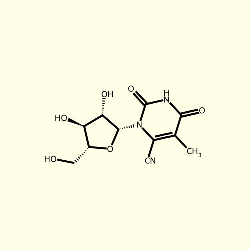 Cc1c(C#N)n([C@@H]2O[C@H](CO)[C@@H](O)[C@@H]2O)c(=O)[nH]c1=O